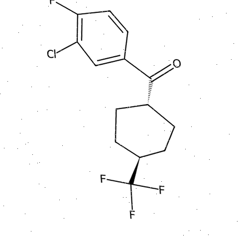 O=C(c1ccc(F)c(Cl)c1)[C@H]1CC[C@H](C(F)(F)F)CC1